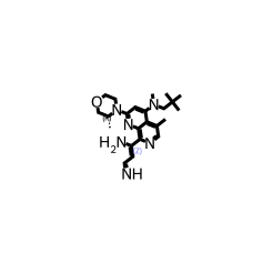 Cc1cnc(/C(N)=C/C=N)c2nc(N3CCOC[C@H]3C)cc(N(C)CC(C)(C)C)c12